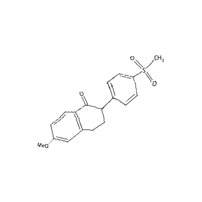 COc1ccc2c(c1)CCC(c1ccc(S(C)(=O)=O)cc1)C2=O